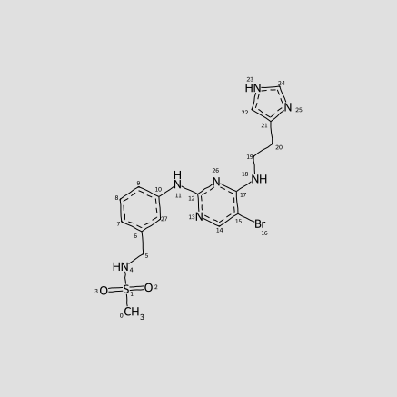 CS(=O)(=O)NCc1cccc(Nc2ncc(Br)c(NCCc3c[nH]cn3)n2)c1